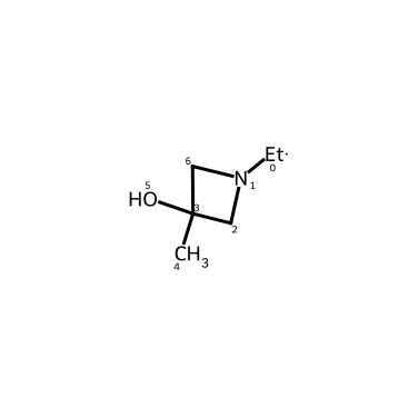 C[CH]N1CC(C)(O)C1